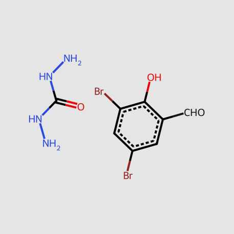 NNC(=O)NN.O=Cc1cc(Br)cc(Br)c1O